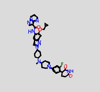 CN(C1CCN(c2ccc(C3CCC(=O)NC3=O)c(F)c2)CC1)[C@H]1CC[C@H](n2cc3cc(NC(=O)c4cnn5cccnc45)c(OCC4CC4)cc3n2)CC1